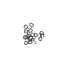 CCc1ccccc1-c1c(-c2ccccc2)ccc2c1C=C(c1ccccc1)[CH]2[Zr]([Cl])([Cl])([c]1cccc2c1[SiH2]c1ccccc1-2)[CH]1C(c2ccccc2)=Cc2c1ccc(-c1ccccc1)c2-c1ccccc1CC